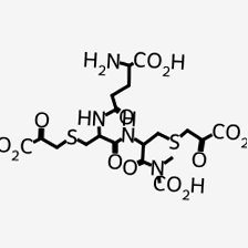 CCOC(=O)C(=O)CSCC(NC(=O)CCC(N)C(=O)O)C(=O)NC(CSCC(=O)C(=O)OCC)C(=O)N(C)C(=O)O